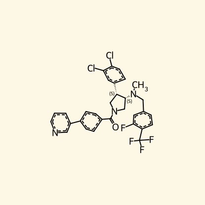 CN(Cc1ccc(C(F)(F)F)c(F)c1)[C@@H]1CN(C(=O)c2ccc(-c3cccnc3)cc2)C[C@@H]1c1ccc(Cl)c(Cl)c1